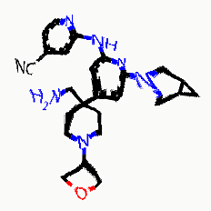 N#Cc1ccnc(Nc2cc(C3(CN)CCN(C4COC4)CC3)cc(N3CC4CC4C3)n2)c1